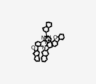 c1ccc2cc(-c3nc(-c4ccc5oc6cc7ccccc7cc6c5c4-n4c5cc6ccccc6cc5c5ccc6ccccc6c54)nc(-c4cccc5c4oc4ccccc45)n3)ccc2c1